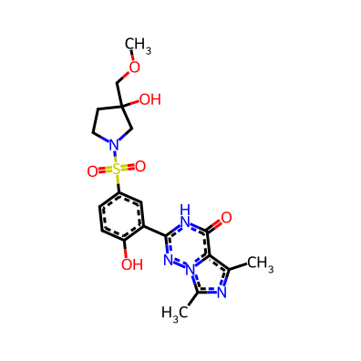 COCC1(O)CCN(S(=O)(=O)c2ccc(O)c(-c3nn4c(C)nc(C)c4c(=O)[nH]3)c2)C1